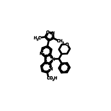 Cc1noc(C)c1-c1cnc2c3ccc(C(=O)O)nc3n(C(c3ccccc3)C3CCOCC3)c2c1